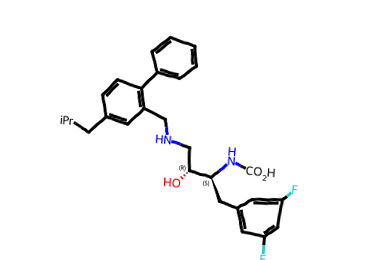 CC(C)Cc1ccc(-c2ccccc2)c(CNC[C@@H](O)[C@H](Cc2cc(F)cc(F)c2)NC(=O)O)c1